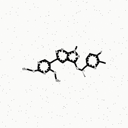 Cc1nc([C@H](C)Oc2nn(C)c3nnc(-c4cnc(OC(C)(C)C)nc4OC(C)(C)C)cc23)ccc1F